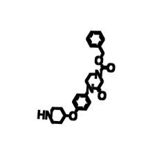 O=C(OCc1ccccc1)N1CCN(c2ccc(OC3CCNCC3)cc2)C(=O)C1